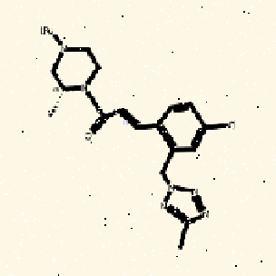 Cc1nnn(Cc2cc(Cl)ccc2/C=C/C(=O)N2CCN(C(C)(C)C)C[C@H]2C)n1